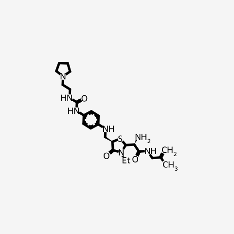 C=C(C)CNC(=O)[C@@H](N)C1S[C@H](CNc2ccc(NC(=O)NCCN3CCCC3)cc2)C(=O)N1CC